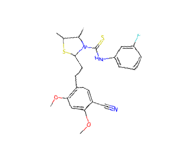 COc1cc(OC)c(CCC2SC(C)C(C)N2C(=S)Nc2cccc(F)c2)cc1C#N